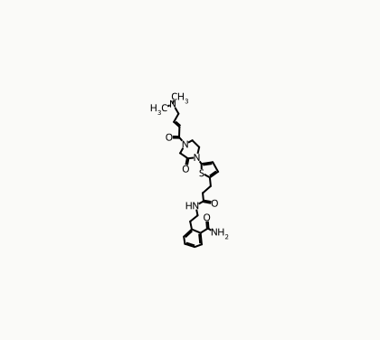 CN(C)CC=CC(=O)N1CCN(c2ccc(CCC(=O)NCCc3ccccc3C(N)=O)s2)C(=O)C1